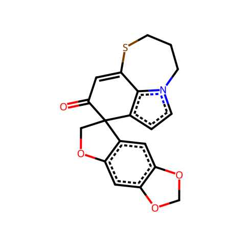 O=C1C=C2SCCCn3ccc(c32)C12COc1cc3c(cc12)OCO3